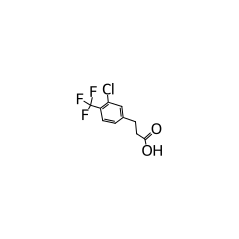 O=C(O)CCc1ccc(C(F)(F)F)c(Cl)c1